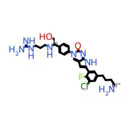 C[C@H](N)CCCc1cc(Cl)c(F)c(-c2cc3cn(-c4ccc([C@H](CO)NCCCNC(=N)N)cc4)c(=O)nc3[nH]2)c1